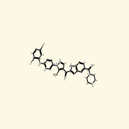 Nc1c(C(=O)c2cc3cc(C(=O)N4CCOCC4)ccc3[nH]2)cnn1-c1ccc(Oc2cc(F)ccc2F)nc1